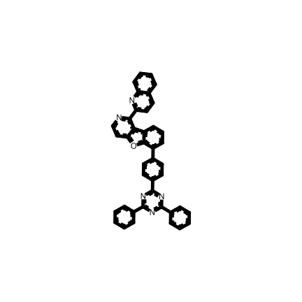 c1ccc(-c2nc(-c3ccccc3)nc(-c3ccc(-c4cccc5c4oc4ccnc(-c6ccc7ccccc7n6)c45)cc3)n2)cc1